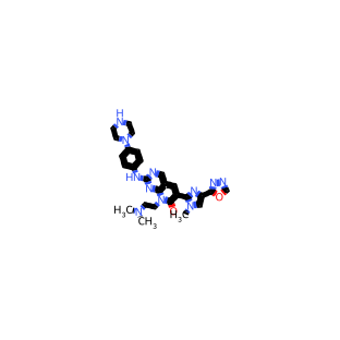 CN(C)CCn1c(=O)c(-c2nc(-c3nnco3)cn2C)cc2cnc(Nc3ccc(N4CCNCC4)cc3)nc21